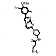 COc1cc(C)c(-c2cn3ccc(N4CCC(NC(=O)CCN)C4)nc3n2)cc1Br